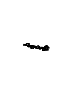 C#COCCOCCOCCOc1ccccc1